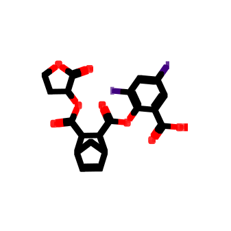 O=C(O)c1cc(I)cc(I)c1OC(=O)C1C2C=CC(C2)C1C(=O)OC1CCOC1=O